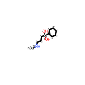 CCCCNCCC[Si](O)(O)C1CCCCC1